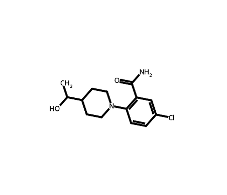 CC(O)C1CCN(c2ccc(Cl)cc2C(N)=O)CC1